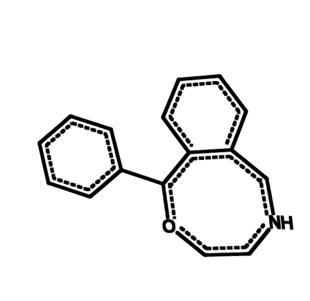 c1ccc(-c2occ[nH]cc3ccccc23)cc1